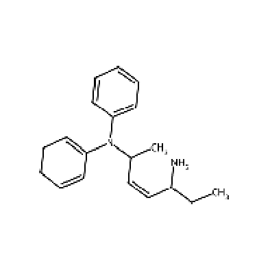 CCC(N)/C=C\C(C)N(C1=CCCC=C1)c1ccccc1